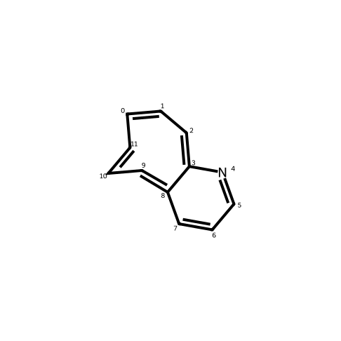 C1=C\C=c2\nccc\c2=C/C=C/1